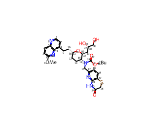 COc1ccc2nccc(CC[C@H]3CC[C@@H](N(Cc4ccc5c(n4)NC(=O)CS5)C(=O)OC(C)(C)C)[C@H](C[C@H](O)CO)O3)c2n1